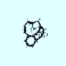 C/C1=C\C=C/c2cccc3ccc(c(C)c23)C1